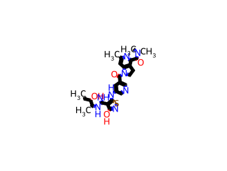 CCC(O)C(C)NC(=N)c1c(O)nsc1Nc1cncc(C(=O)N2CCc3c2cc(C)nc3C(=O)N(C)C)c1